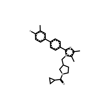 Cc1cc(-c2ccc(-c3nc(C)c(C)n3CC3CCN(C(=O)C4CC4)C3)cc2)ccc1F